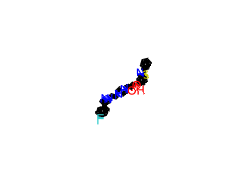 O[C@H](COc1ccc2sc(-c3ccccc3)nc2c1)CN1CCN(CCn2cc(-c3ccc(F)cc3)cn2)CC1